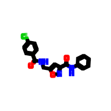 O=C(NCc1cc(C(=O)Nc2ccccc2)no1)c1ccc(Cl)cc1